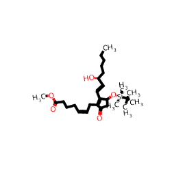 CCCCC[C@H](O)/C=C/C1=C(C/C=C\CCCC(=O)OC)C(=O)CC1O[Si](C)(C)C(C)(C)C